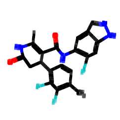 CC1=C(C(=O)Nc2cc3cn[nH]c3cc2F)C(c2ccc(C(F)(F)F)c(F)c2F)CC(=O)N1